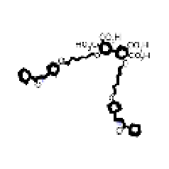 O=C(/C=C/c1ccc(OCCCCCCOc2cc(-c3cc(OCCCCCCOc4ccc(/C=C/C(=O)c5ccccc5)cc4)c(C(=O)O)c(C(=O)O)c3)cc(C(=O)O)c2C(=O)O)cc1)c1ccccc1